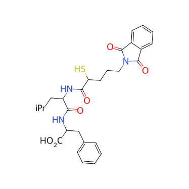 CC(C)CC(NC(=O)C(S)CCCN1C(=O)c2ccccc2C1=O)C(=O)NC(Cc1ccccc1)C(=O)O